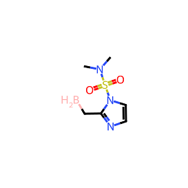 BCc1nccn1S(=O)(=O)N(C)C